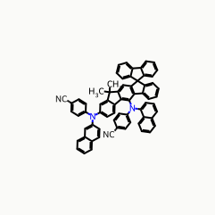 CC1(C)c2cc(N(c3ccc(C#N)cc3)c3ccc4ccccc4c3)ccc2-c2c1cc1c(c2N(c2ccc(C#N)cc2)c2cccc3ccccc23)-c2ccccc2C12c1ccccc1-c1ccccc12